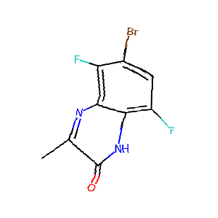 Cc1nc2c(F)c(Br)cc(F)c2[nH]c1=O